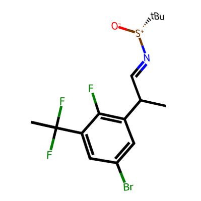 CC(/C=N/[S@+]([O-])C(C)(C)C)c1cc(Br)cc(C(C)(F)F)c1F